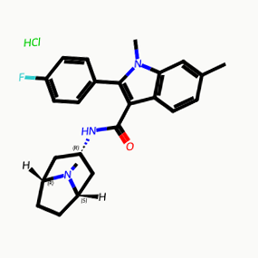 Cc1ccc2c(C(=O)N[C@H]3C[C@H]4CC[C@@H](C3)N4C)c(-c3ccc(F)cc3)n(C)c2c1.Cl